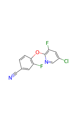 N#Cc1ccc(Oc2ncc(Cl)cc2F)c(F)c1